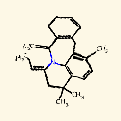 C=C1C2=C(C=CCC2)c2c(C)ccc3c2N1/C(=C\C)CC3(C)C